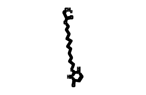 C=CC(=O)OCCCCCCCCCCCSC1NC=CC(=O)N1